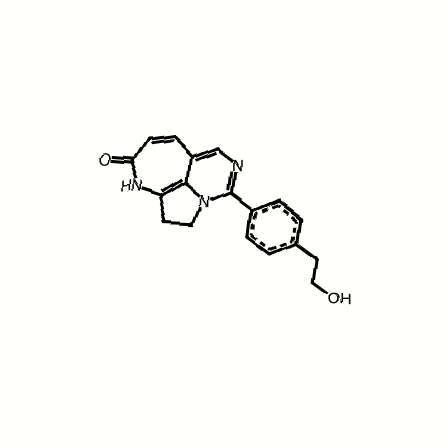 O=C1C=CC2=CN=C(c3ccc(CCO)cc3)N3CCC(=C23)N1